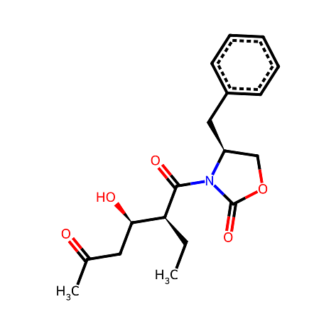 CC[C@H](C(=O)N1C(=O)OC[C@@H]1Cc1ccccc1)[C@H](O)CC(C)=O